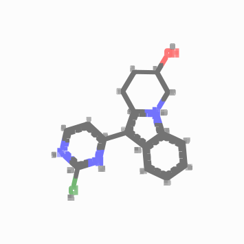 OC1CCc2c(-c3ccnc(Cl)n3)c3ccccc3n2C1